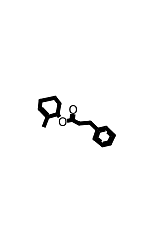 CC1=CCCCC1OC(=O)CCc1ccccc1